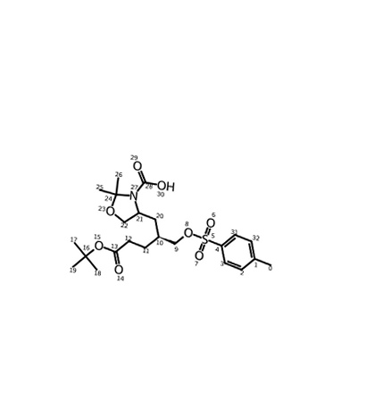 Cc1ccc(S(=O)(=O)OC[C@@H](CCC(=O)OC(C)(C)C)CC2COC(C)(C)N2C(=O)O)cc1